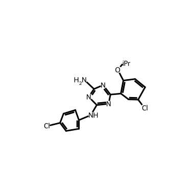 CC(C)Oc1ccc(Cl)cc1-c1nc(N)nc(Nc2ccc(Cl)cc2)n1